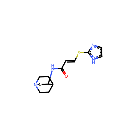 O=C(C=CSc1ncc[nH]1)NC1CN2CCC1CC2